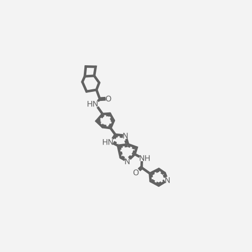 O=C(Nc1cc2nc(-c3ccc(NC(=O)C4CCC5CCC5C4)cc3)[nH]c2cn1)c1ccncc1